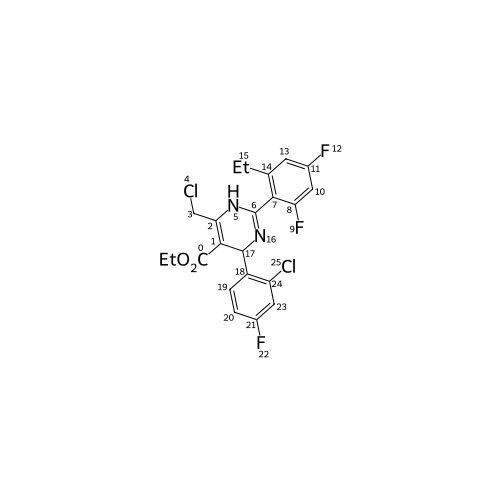 CCOC(=O)C1=C(CCl)NC(c2c(F)cc(F)cc2CC)=NC1c1ccc(F)cc1Cl